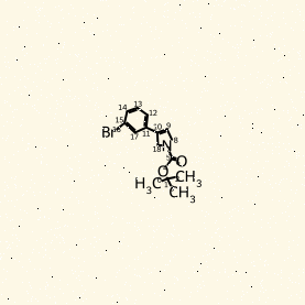 CC(C)(C)OC(=O)N1CC=C(c2cccc(Br)c2)C1